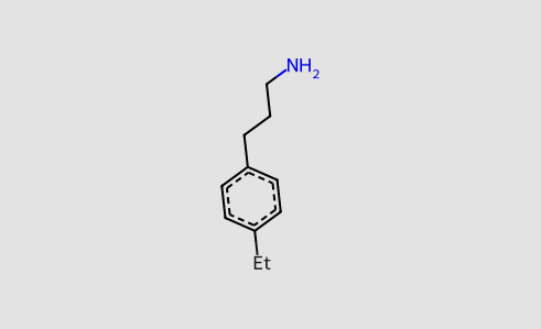 CCc1ccc(CCCN)cc1